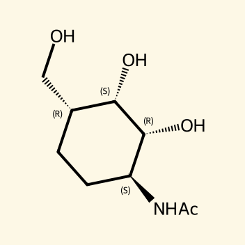 CC(=O)N[C@H]1CC[C@H](CO)[C@H](O)[C@@H]1O